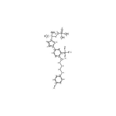 C[C@](N)(COP(=O)(O)O)c1nnc(-c2ccc(OCCCCc3ccc(F)cc3)c(C(F)(F)F)c2)s1